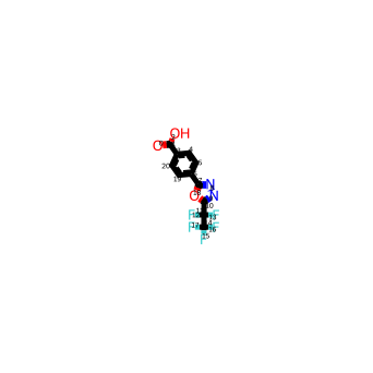 O=C(O)c1ccc(-c2nnc(C(F)(F)C(F)(F)F)o2)cc1